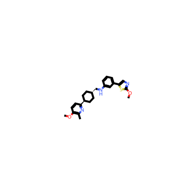 COc1ncc(-c2cccc(NC[C@H]3CC[C@H](c4ccc(OC)c(C)n4)CC3)c2)s1